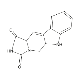 O=C1NC(=O)N2CC3Nc4ccccc4C3=CC12